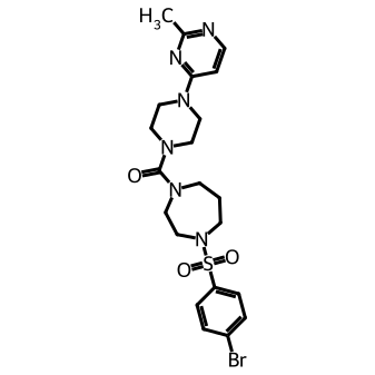 Cc1nccc(N2CCN(C(=O)N3CCCN(S(=O)(=O)c4ccc(Br)cc4)CC3)CC2)n1